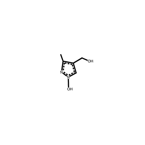 Cc1nn(O)cc1CO